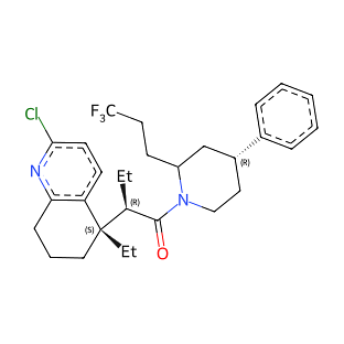 CC[C@@H](C(=O)N1CC[C@@H](c2ccccc2)CC1CCC(F)(F)F)[C@]1(CC)CCCc2nc(Cl)ccc21